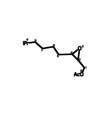 CC(=O)OCC1OC1CCCCC(C)C